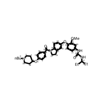 CCCCN1CCC(Oc2ccc(C(=O)N3CCc4cc(Oc5ccc(NC(=O)NC(CC)CC)cc5OC)ccc43)cc2)CC1